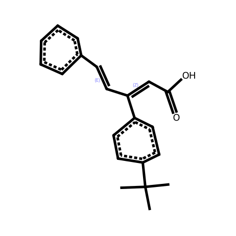 CC(C)(C)c1ccc(C(=C\C(=O)O)/C=C/c2ccccc2)cc1